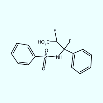 O=C(O)C(F)C(F)(NS(=O)(=O)c1ccccc1)c1ccccc1